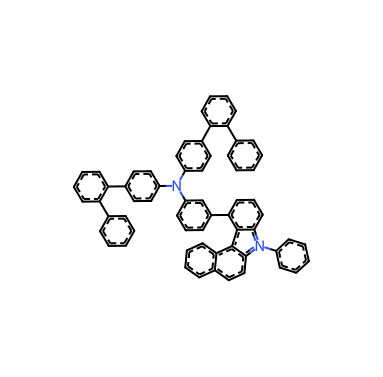 c1ccc(-c2ccccc2-c2ccc(N(c3ccc(-c4ccccc4-c4ccccc4)cc3)c3cccc(-c4cccc5c4c4c6ccccc6ccc4n5-c4ccccc4)c3)cc2)cc1